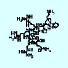 N=C(N)NCCC[C@@H](NC(=O)[C@H]1CCCN1C(=O)[C@@H](CCCCN)NC(=O)[C@@H]1CCCN1)C(=O)N[C@H](CCCNC(=N)N)C(=O)N[C@H](CCCNC(=N)N)C(=O)N[C@H](CCC(N)=O)C(=O)O